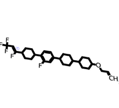 C=CCOC1CCC(C2CCC(c3ccc(C4CCC(/C(F)=C/C(F)(F)F)CC4)c(F)c3)CC2)CC1